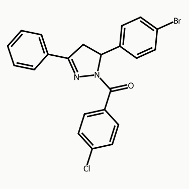 O=C(c1ccc(Cl)cc1)N1N=C(c2ccccc2)CC1c1ccc(Br)cc1